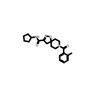 [CH2]c1ccccc1C(=O)N1CCC2(CC1)CC(C(=O)NC1CCCC1)=NO2